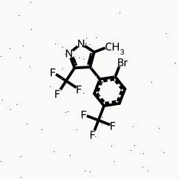 CC1=C(c2cc(C(F)(F)F)ccc2Br)C(C(F)(F)F)=N[N]1